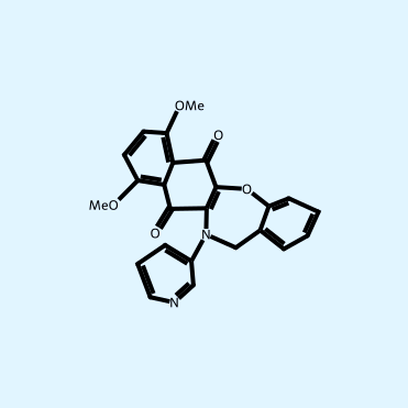 COc1ccc(OC)c2c1C(=O)C1=C(C2=O)N(c2cccnc2)Cc2ccccc2O1